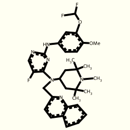 COc1ccc(Nc2ncc(F)c(N(Cc3ccc4ccccc4n3)C3CC(C)(C)N(C)C(C)(C)C3)n2)cc1OC(F)F